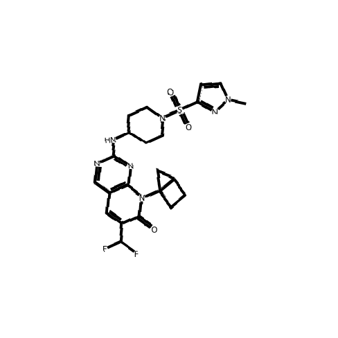 Cn1ccc(S(=O)(=O)N2CCC(Nc3ncc4cc(C(F)F)c(=O)n(C56CCC5C6)c4n3)CC2)n1